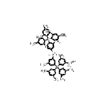 Cc1cc(C)cc([B-](c2cc(C)cc(C)c2)(c2cc(C)cc(C)c2)c2cc(C)cc(C)c2)c1.Cc1ccc([B-](c2ccc(C)cc2C)(c2ccc(C)cc2C)c2ccc(C)cc2C)c(C)c1.[K+].[K+]